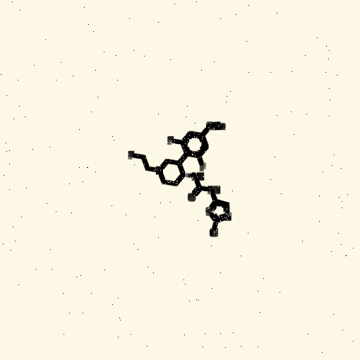 COc1cc(F)c(C2CN(CCF)CC[C@H]2NC(=O)Nc2cnc(Cl)s2)c(F)c1